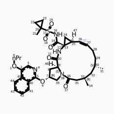 CCCOc1cnc(O[C@@H]2C[C@H]3C(=O)N[C@]4(C(=O)NS(=O)(=O)C5(C)CC5)C[C@H]4/C=C\CC[C@H](C)C[C@@H](C)CC(=O)N3C2)c2ccccc12